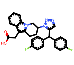 O=C(O)Cc1c2n(c3ccccc13)CC(n1nncc1C(c1ccc(F)cc1)c1ccc(F)cc1)CC2